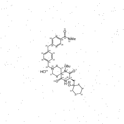 CCCCN1C(=O)[C@@H](CC2(O)CCCCC2)NC(=O)C12CCN(Cc1ccc(Cc3ccc(C(=O)NC)cc3)cc1)CC2.Cl